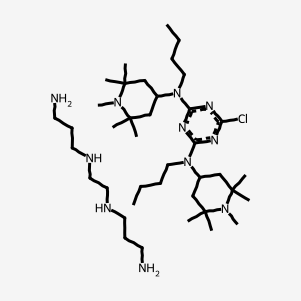 CCCCN(c1nc(Cl)nc(N(CCCC)C2CC(C)(C)N(C)C(C)(C)C2)n1)C1CC(C)(C)N(C)C(C)(C)C1.NCCCNCCNCCCN